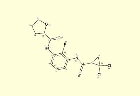 O=C(Nc1cccc(NC(=O)C2CC2(Cl)Cl)c1F)C1CCCO1